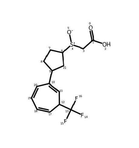 O=C(O)C[S+]([O-])C1CCC(C2=CC(C(F)(F)F)C=CC=C2)C1